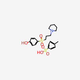 Cc1ccc(S(=O)(=O)O)cc1.O=S(=O)(CCCN1CCCCC1)c1ccc(O)cc1